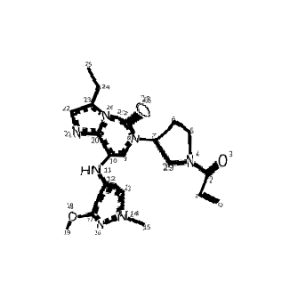 C=CC(=O)N1CCC(n2cc(Nc3cn(C)nc3OC)c3ncc(CC)n3c2=O)C1